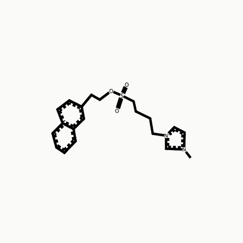 Cn1cc[n+](CCCCS(=O)(=O)OCCc2ccc3ccccc3c2)c1